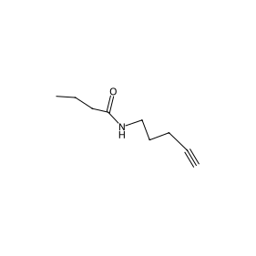 C#CCCCNC(=O)CCC